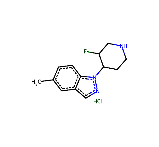 Cc1ccc2c(cnn2C2CCNCC2F)c1.Cl